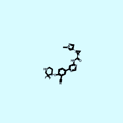 Cn1cc([C@@H]2C[C@H]2C(=O)Nc2cc(-c3ccc(O[C@H]4CCNCC4(F)F)c(C#N)c3)ncn2)cn1